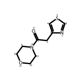 O=C(Cc1cs[c]n1)N1CCOCC1